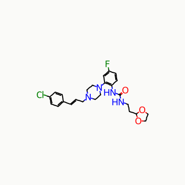 O=C(NCCC1OCCO1)Nc1ccc(F)cc1N1CCN(CC=Cc2ccc(Cl)cc2)CC1